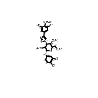 COc1c(F)cc(-c2cn([C@@H]3C(OC(C)=O)[C@@H](Sc4ccc(Cl)c(Cl)c4)OC(COC(C)=O)[C@@H]3OC(C)=O)nn2)cc1F